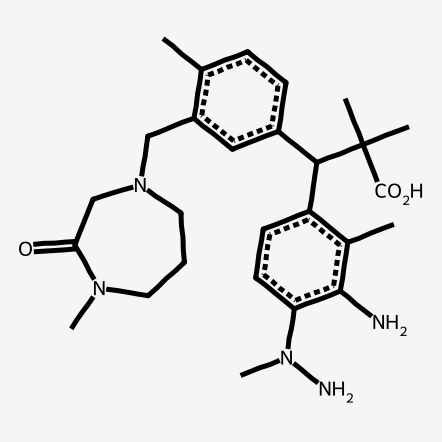 Cc1ccc(C(c2ccc(N(C)N)c(N)c2C)C(C)(C)C(=O)O)cc1CN1CCCN(C)C(=O)C1